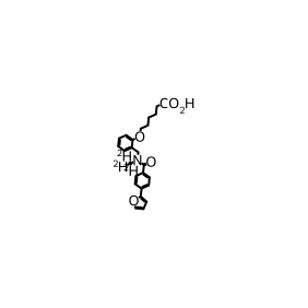 [2H]C([2H])([2H])N(Cc1ccccc1OCCCCCC(=O)O)C(=O)c1ccc(-c2ccco2)cc1